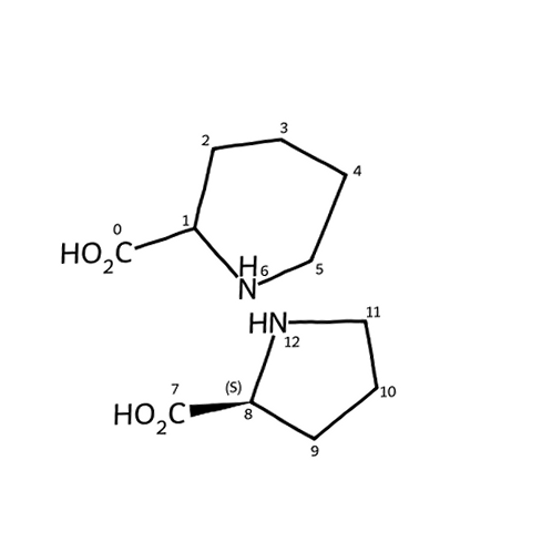 O=C(O)C1CCCCN1.O=C(O)[C@@H]1CCCN1